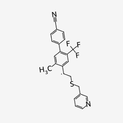 Cc1cc(-c2ccc(C#N)cc2)c(C(F)(F)F)cc1[CH]CSCc1cccnc1